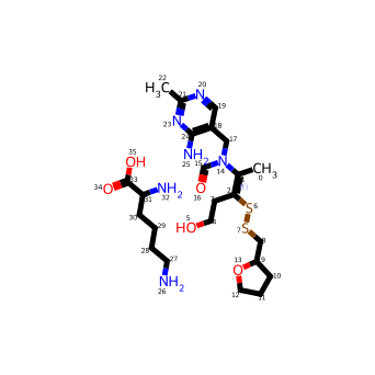 C/C(=C(/CCO)SSCC1CCCO1)N(C=O)Cc1cnc(C)nc1N.NCCCCC(N)C(=O)O